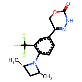 C[C@@H]1C[C@H](C)N1c1ccc(C2=NNC(=O)OC2)cc1C(F)(F)F